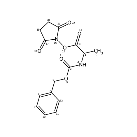 CC(NC(=O)OCc1ccccc1)C(=O)ON1C(=O)CCC1=O